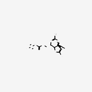 NC1=N[C@@]23[C@@H](N1)[C@H](COC(=O)NS(=O)(=O)O)N=C(N)N2CCC3(O)O